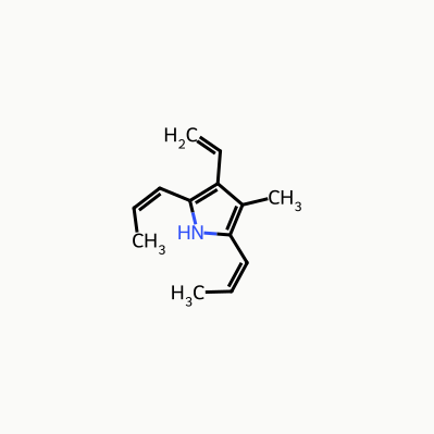 C=Cc1c(/C=C\C)[nH]c(/C=C\C)c1C